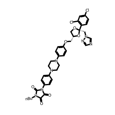 CCCCN1C(=O)C(=O)N(c2ccc(N3CCN(c4ccc(OC[C@@H]5CO[C@@](Cn6cncn6)(c6ccc(Cl)cc6Cl)O5)cc4)CC3)cc2)C1=O